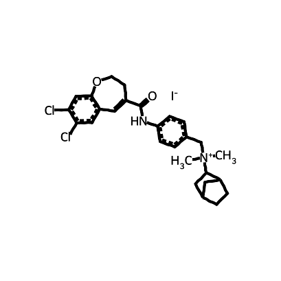 C[N+](C)(Cc1ccc(NC(=O)C2=Cc3cc(Cl)c(Cl)cc3OCC2)cc1)C1CC2CCC1C2.[I-]